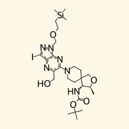 C[C@@H]1OCC2(CCN(c3nc4c(nc3CO)c(I)nn4COCC[Si](C)(C)C)CC2)[C@@H]1NC(=O)OC(C)(C)C